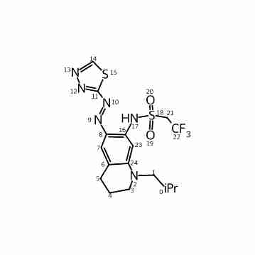 CC(C)CN1CCCc2cc(N=Nc3nncs3)c(NS(=O)(=O)CC(F)(F)F)cc21